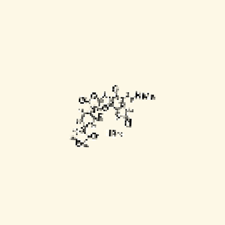 Br.CNCCCC(=O)N(C[C@H]1CN(c2ccc(N3CCOCC3=O)cc2F)C(=O)O1)C(=O)c1ccc(Cl)s1